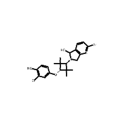 CC1(C)[C@H](Oc2ccc(C#N)c(Cl)c2)C(C)(C)[C@H]1N1Cc2nc(Br)ccc2C1O